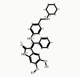 CCOc1cc2c(cc1OCC)/C(=C(/Nc1ccc(CNC3CCCCC3)cc1)c1ccccc1)C(=O)N2